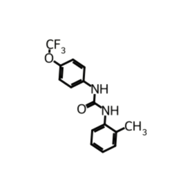 Cc1ccccc1NC(=O)Nc1ccc(OC(F)(F)F)cc1